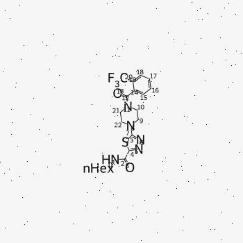 CCCCCCNC(=O)c1nnc(N2CCN(C(=O)c3ccccc3C(F)(F)F)CC2)s1